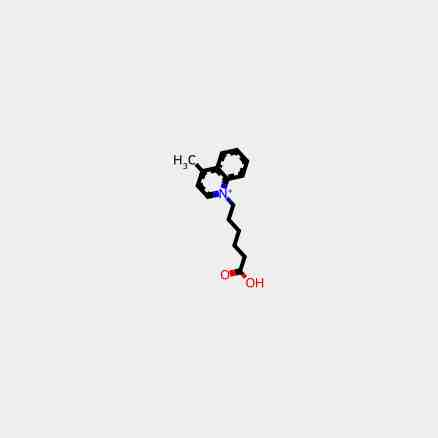 Cc1cc[n+](CCCCCC(=O)O)c2ccccc12